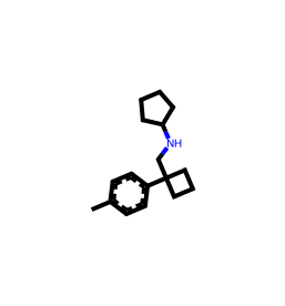 Cc1ccc(C2(CNC3CCCC3)CCC2)cc1